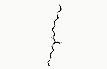 CCOCCOCCOC(=O)OCCOCC